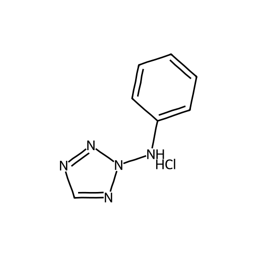 Cl.c1ccc(Nn2ncnn2)cc1